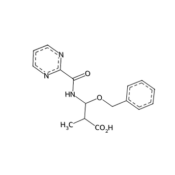 CC(C(=O)O)C(NC(=O)c1ncccn1)OCc1ccccc1